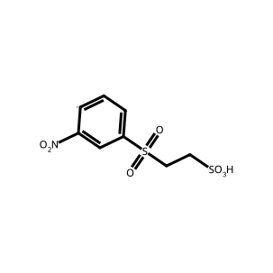 O=[N+]([O-])c1[c]ccc(S(=O)(=O)CCS(=O)(=O)O)c1